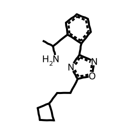 CC(N)c1ccccc1-c1noc(CCC2CCC2)n1